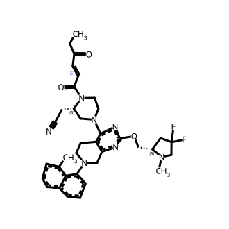 CCC(=O)/C=C/C(=O)N1CCN(c2nc(OC[C@@H]3CC(F)(F)CN3C)nc3c2CCN(c2cccc4cccc(C)c24)C3)C[C@@H]1CC#N